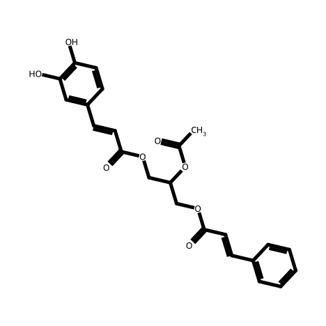 CC(=O)OC(COC(=O)C=Cc1ccccc1)COC(=O)/C=C/c1ccc(O)c(O)c1